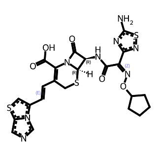 Nc1nc(/C(=N/OC2CCCC2)C(=O)N[C@@H]2C(=O)N3C(C(=O)O)=C(/C=C/c4csc5cncn45)CS[C@H]23)ns1